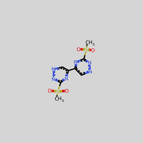 CS(=O)(=O)c1nncc(-c2cnnc(S(C)(=O)=O)n2)n1